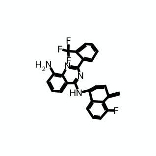 C=C1C=C=C(Nc2nc(-c3ccccc3C(F)(F)F)nc3c(N)cccc23)c2cccc(F)c21